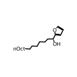 CCCCCCCCCCCCCC[C@H](O)c1ccco1